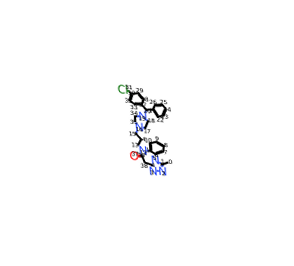 Cc1nnc2n1-c1ccccc1N(CCCN1CCN(C(c3ccccc3)c3ccc(Cl)cc3)CC1)C(=O)C2